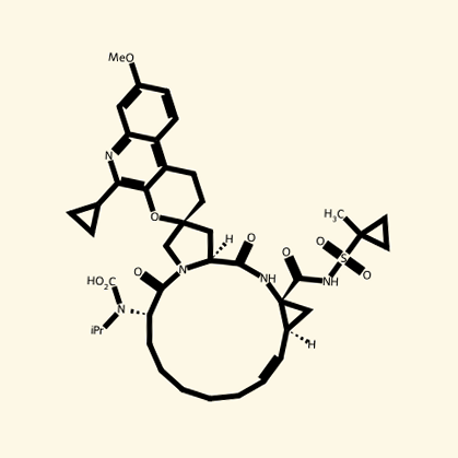 COc1ccc2c3c(c(C4CC4)nc2c1)O[C@]1(CC3)C[C@H]2C(=O)N[C@]3(C(=O)NS(=O)(=O)C4(C)CC4)C[C@H]3/C=C\CCCCC[C@H](N(C(=O)O)C(C)C)C(=O)N2C1